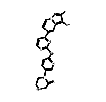 Cc1nn2ccc(-c3ccnc(Nc4ccc(N5CCNCC5=O)cn4)n3)cc2c1C(C)C